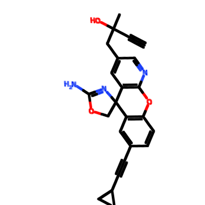 C#CC(C)(O)Cc1cnc2c(c1)C1(COC(N)=N1)c1cc(C#CC3CC3)ccc1O2